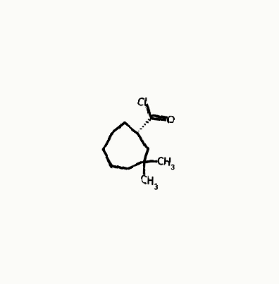 CC1(C)CCCCC[C@H](C(=O)Cl)C1